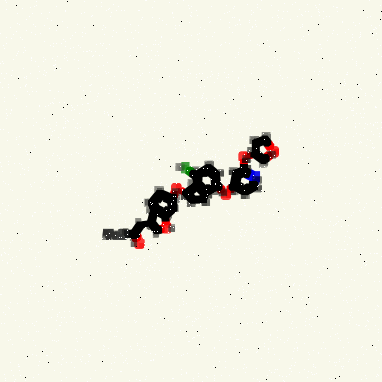 COC(=O)C[C@@H]1COc2cc(O[C@@H]3CCc4c(Oc5ccnc(O[C@H]6CCOC6)c5)ccc(F)c43)ccc21